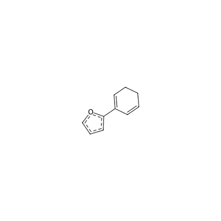 C1=CC(c2ccco2)=CCC1